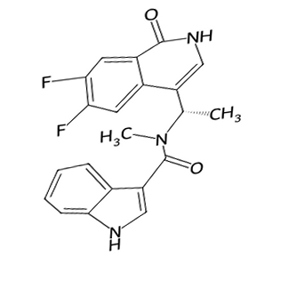 C[C@@H](c1c[nH]c(=O)c2cc(F)c(F)cc12)N(C)C(=O)c1c[nH]c2ccccc12